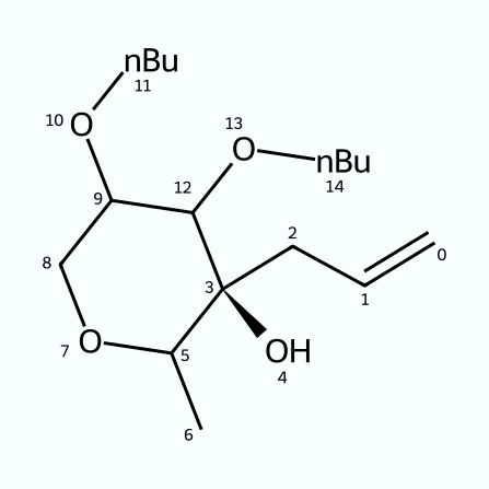 C=CC[C@]1(O)C(C)OCC(OCCCC)C1OCCCC